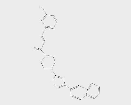 O=C(/C=C/c1cccc(Br)c1)N1CCN(c2nc(-c3ccc4ccccc4c3)no2)CC1